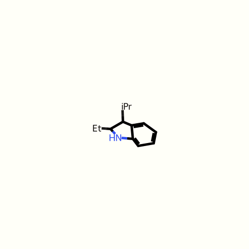 CCC1Nc2ccccc2C1C(C)C